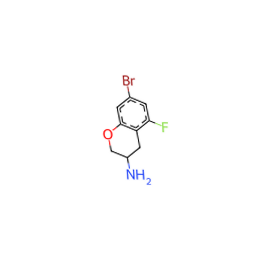 NC1COc2cc(Br)cc(F)c2C1